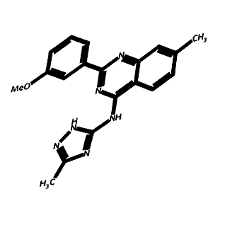 COc1cccc(-c2nc(Nc3nc(C)n[nH]3)c3ccc(C)cc3n2)c1